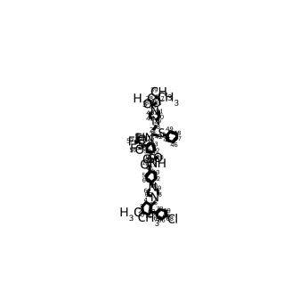 CC1(C)CCC(CN2CCN(c3ccc(C(=O)NS(=O)(=O)c4ccc(N[C@H](CCN5CCN(C(=O)OC(C)(C)C)CC5)CSc5ccccc5)c(S(=O)(=O)C(F)(F)F)c4)cc3)CC2)=C(c2ccc(Cl)cc2)C1